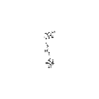 O=C1N[C@H]2CSC(CCCCNCCSSCCC(=O)ON3C(=O)CC(S)C3=O)[C@H]2N1